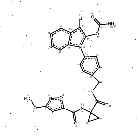 COc1cc(C(=O)NC2(C(=O)NCc3ccc(-n4c(OC(N)=O)c(Cl)c5ccccc54)cc3)CC2)on1